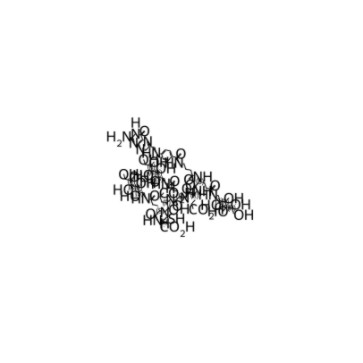 Nc1nc2ncc(CNc3ccc(C(=O)NCCCC(=O)N[C@@H](CCC(=O)NC[C@H](O)[C@@H](O)[C@H](O)[C@H](O)CO)C(=O)N[C@H](CCC(=O)O)C(=O)N[C@@H](CCC(=O)NC[C@H](O)[C@@H](O)[C@H](O)[C@H](O)CO)C(=O)N[C@H](CCC(=O)O)C(=O)N[C@@H](CCC(=O)NC[C@H](O)[C@@H](O)[C@H](O)[C@H](O)CO)C(=O)N[C@H](CS)C(=O)O)cc3)nc2c(=O)[nH]1